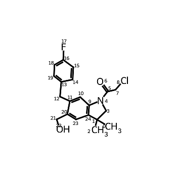 CC1(C)CN(C(=O)CCl)c2cc(Cc3ccc(F)cc3)c(CO)cc21